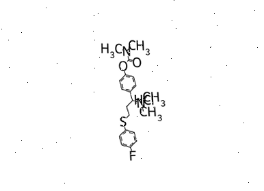 CN(C)C(=O)Oc1ccc(C(CCSc2ccc(F)cc2)N(C)C)cc1.Cl